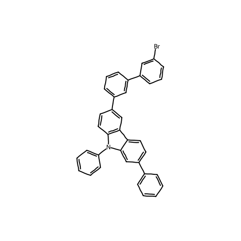 Brc1cccc(-c2cccc(-c3ccc4c(c3)c3ccc(-c5ccccc5)cc3n4-c3ccccc3)c2)c1